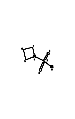 CCS(=O)(=O)N1CCC1